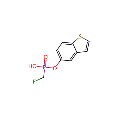 O=P(O)(CF)Oc1ccc2sccc2c1